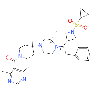 Cc1ncnc(C)c1C(=O)N1CCC(C)(N2CCN([C@@H](Cc3ccccc3)C3CN(S(=O)(=O)C4CC4)C3)[C@@H](C)C2)CC1